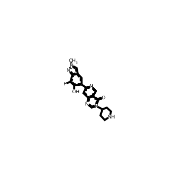 Cn1cc2cc(-c3cc4ncn(C5CCNCC5)c(=O)c4cn3)c(O)c(F)c2n1